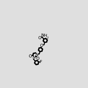 NC(=O)c1cccc(COc2ccc(Cn3ccc(=O)n(Cc4cccc(F)c4)c3=O)cc2)c1